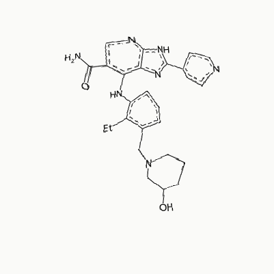 CCc1c(CN2CCCC(O)C2)cccc1Nc1c(C(N)=O)cnc2[nH]c(-c3ccncc3)nc12